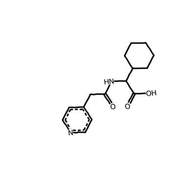 O=C(Cc1ccncc1)NC(C(=O)O)C1CCCCC1